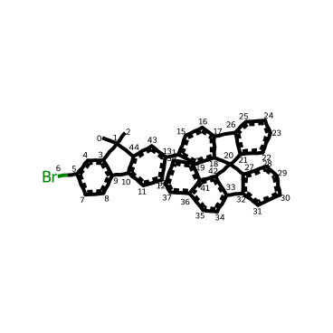 CC1(C)c2cc(Br)ccc2-c2ccc(-c3ccc4c(c3)C3(c5ccccc5-4)c4ccccc4-c4ccc5ccccc5c43)cc21